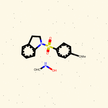 COc1ccc(S(=O)(=O)N2CCc3ccccc32)cc1.O=CNO